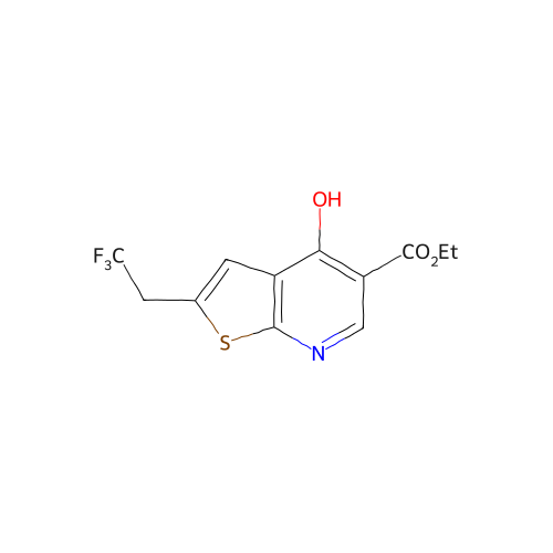 CCOC(=O)c1cnc2sc(CC(F)(F)F)cc2c1O